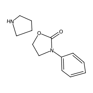 C1CCNC1.O=C1OCCN1c1ccccc1